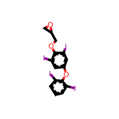 Ic1cc(Oc2c(I)c[c]cc2I)cc(I)c1OCC1CO1